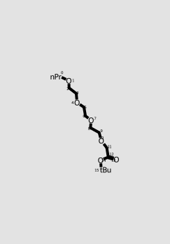 CCCOCCOCCOCCOCC(=O)OC(C)(C)C